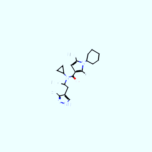 CCc1n[nH]cc1CC(C)N(C(=O)c1cc(C)n(C2CCCCC2)c1C)C1CC1